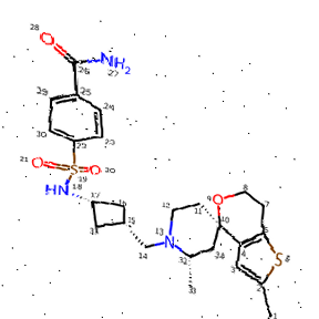 CCc1cc2c(s1)CCO[C@@]21CCN(C[C@H]2C[C@@H](NS(=O)(=O)c3ccc(C(N)=O)cc3)C2)[C@@H](C)C1